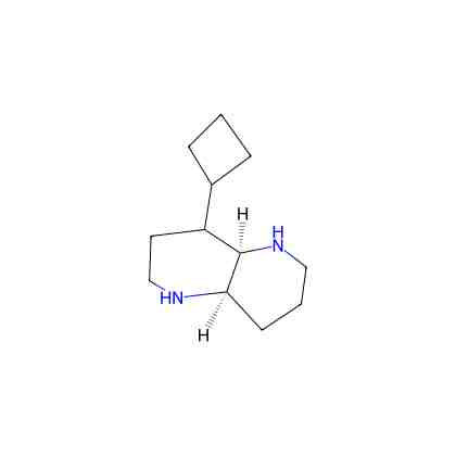 C1CC(C2CCN[C@@H]3CCCN[C@H]23)C1